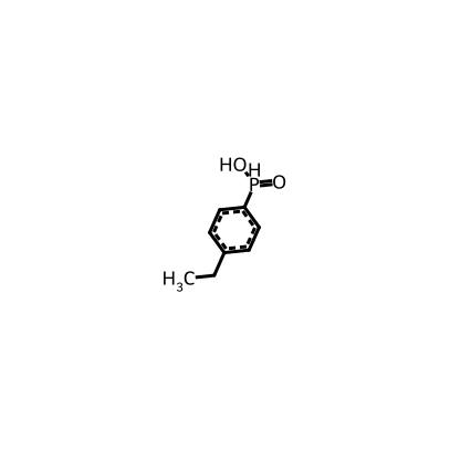 CCc1ccc([PH](=O)O)cc1